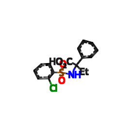 CCC(NS(=O)(=O)c1ccccc1Cl)(C(=O)O)c1ccccc1